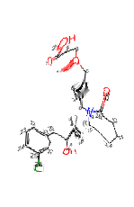 O=C(O)COCC#CCN1C(=O)CCC[C@@H]1C=CC(O)Cc1cccc(Cl)c1